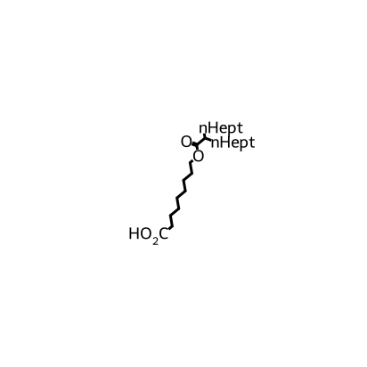 CCCCCCCC(CCCCCCC)C(=O)OCCCCCCCCC(=O)O